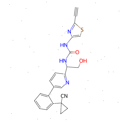 C#Cc1nc(NC(=O)NC(CO)c2ccc(-c3ccccc3C3(C#N)CC3)cn2)cs1